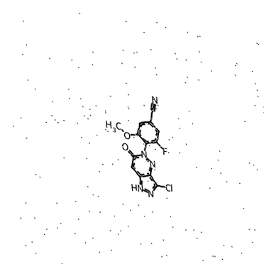 COc1cc(C#N)cc(F)c1-n1nc2c(Cl)n[nH]c2cc1=O